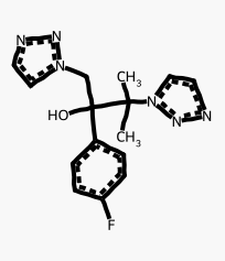 CC(C)(n1ccnn1)C(O)(Cn1ccnn1)c1ccc(F)cc1